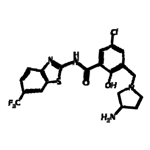 NC1CCN(Cc2cc(Cl)cc(C(=O)Nc3nc4ccc(C(F)(F)F)cc4s3)c2O)C1